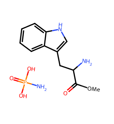 COC(=O)C(N)Cc1c[nH]c2ccccc12.NP(=O)(O)O